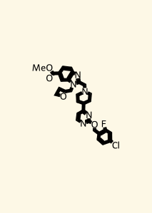 COC(=O)c1ccc2nc(CN3CCC(c4ccnc(OCc5ccc(Cl)cc5F)n4)CC3)n(CC3CCO3)c2c1